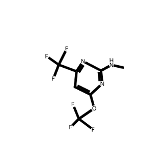 CNc1nc(OC(F)(F)F)cc(C(F)(F)F)n1